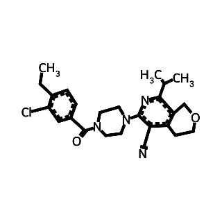 CCc1ccc(C(=O)N2CCN(c3nc(C(C)C)c4c(c3C#N)CCOC4)CC2)cc1Cl